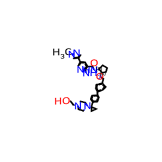 Cn1cc(-c2cnc(N)c(C(=O)N[C@H]3CCC[C@@H]3OCc3ccc(-c4ccc(C5(N6CCN(CCO)CC6)CC5)cc4)cc3)c2)cn1